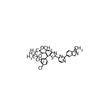 CC(=O)[C@@H](OC(C)(C)C)c1c(C)cc2nc(-c3ccnc(-c4ccc5c(cnn5C)c4)n3)sc2c1-c1ccc(Cl)cc1